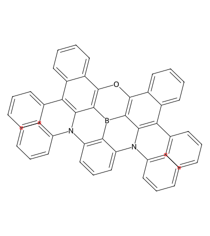 c1ccc(-c2c3c4c(c5ccccc25)Oc2c5c(c(-c6ccccc6)c6ccccc26)N(c2ccccc2)c2cccc(c2B45)N3c2ccccc2)cc1